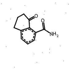 NC(=O)c1[c]ccc2c1C(=O)CCC2